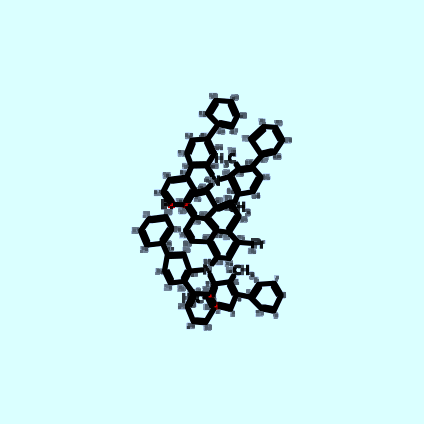 Cc1ccc(-c2ccccc2)c(C)c1N(c1cc(-c2ccccc2)ccc1-c1ccccc1)c1cc(C(C)C)c2ccc3c(N(c4cc(-c5ccccc5)ccc4-c4ccccc4)c4c(C)ccc(-c5ccccc5)c4C)cc(C(C)C)c4ccc1c2c43